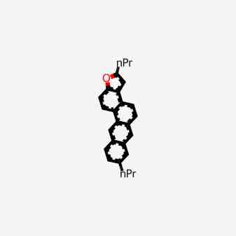 CCCc1ccc2cc3c(ccc4c5cc(CCC)oc5ccc34)cc2c1